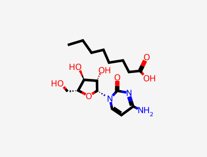 CCCCCCCC(=O)O.Nc1ccn([C@@H]2O[C@H](CO)[C@@H](O)[C@@H]2O)c(=O)n1